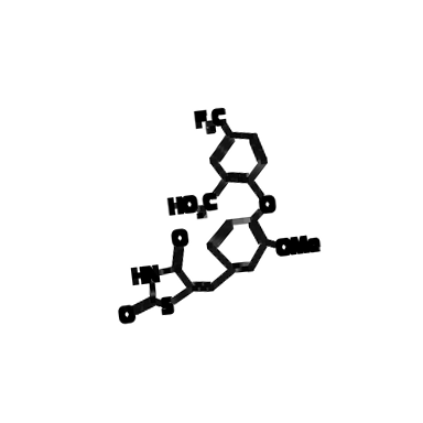 COc1cc(C=C2SC(=O)NC2=O)ccc1Oc1ccc(C(F)(F)F)cc1C(=O)O